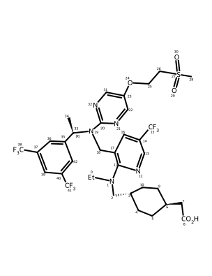 CCN(C[C@H]1CC[C@H](CC(=O)O)CC1)c1ncc(C(F)(F)F)cc1CN(c1ncc(OCCS(C)(=O)=O)cn1)[C@H](C)c1cc(C(F)(F)F)cc(C(F)(F)F)c1